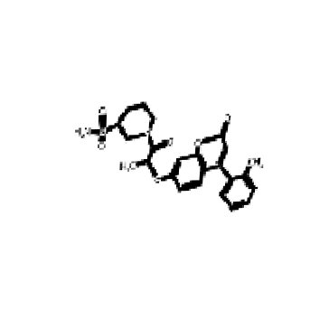 Cc1ccccc1-c1cc(=O)oc2cc(OC(C)C(=O)N3CCCC(S(N)(=O)=O)C3)ccc12